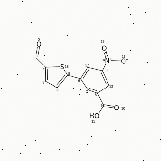 O=Cc1ccc(-c2cc(C(=O)O)cc([N+](=O)[O-])c2)s1